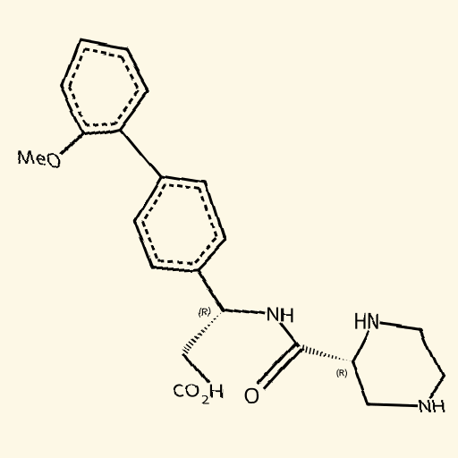 COc1ccccc1-c1ccc([C@@H](CC(=O)O)NC(=O)[C@H]2CNCCN2)cc1